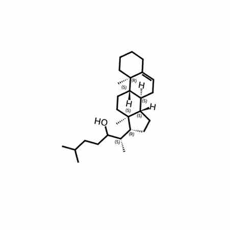 CC(C)CCC(O)[C@@H](C)[C@H]1CC[C@H]2[C@@H]3CC=C4CCCC[C@]4(C)[C@H]3CC[C@]12C